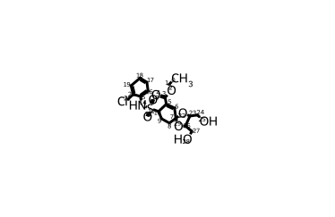 CCOC(=O)C1=CC2(CCC1S(=O)(=O)Nc1ccccc1Cl)OC(CO)C(CO)O2